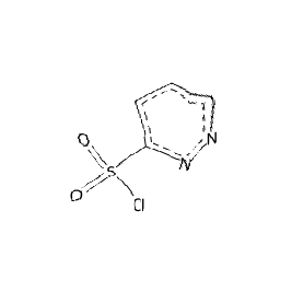 O=S(=O)(Cl)c1cccnn1